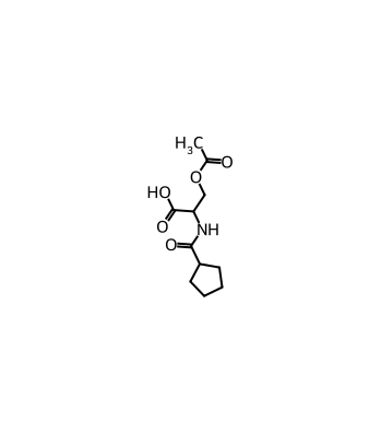 CC(=O)OCC(NC(=O)C1CCCC1)C(=O)O